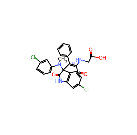 CN(c1cccc(Cl)c1)C1(/C(=C(\C=O)NCC(=O)O)c2ccccc2)C(=O)Nc2cc(Cl)ccc21